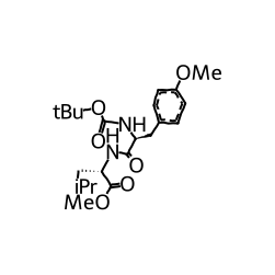 COC(=O)[C@H](CC(C)C)NC(=O)[C@H](Cc1ccc(OC)cc1)NC(=O)OC(C)(C)C